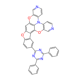 c1ccc(-c2nc(-c3ccccc3)nc(-c3ccc4oc5cc6c7c(c5c4c3)Oc3cnccc3N7c3ccncc3O6)n2)cc1